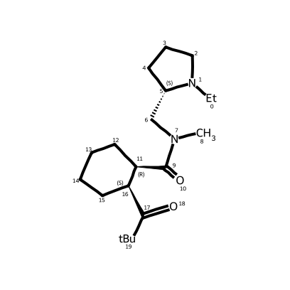 CCN1CCC[C@H]1CN(C)C(=O)[C@@H]1CCCC[C@@H]1C(=O)C(C)(C)C